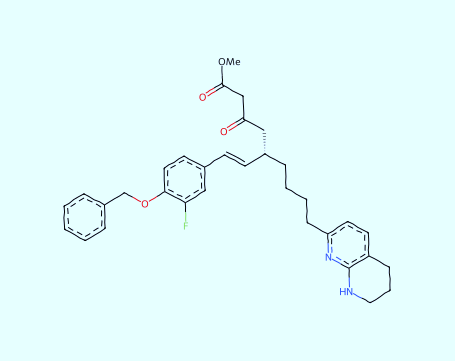 COC(=O)CC(=O)C[C@@H](/C=C/c1ccc(OCc2ccccc2)c(F)c1)CCCCc1ccc2c(n1)NCCC2